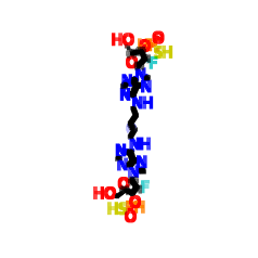 O=[PH](S)OC1[C@@H](F)[C@H](n2cnc3c(NC/C=C/CCNc4ncnc5c4ncn5[C@@H]4O[C@H](CO)[C@@H](O[PH](=O)S)[C@H]4F)ncnc32)O[C@@H]1CO